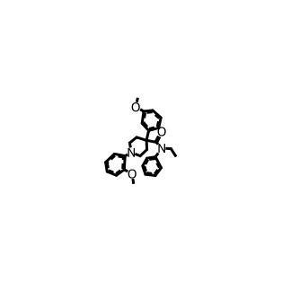 CCN(C(=O)C1(c2cccc(OC)c2)CCN(c2ccccc2OC)CC1)c1ccccc1